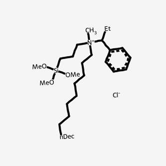 CCCCCCCCCCCCCCCCCC[N+](C)(CCC[Si](OC)(OC)OC)C(CC)c1ccccc1.[Cl-]